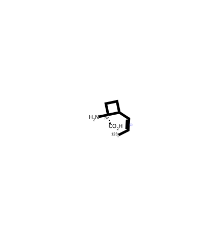 N[C@@]1(C(=O)O)CCC1/C=C\[123I]